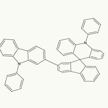 c1ccc(N2c3ccccc3C3(c4ccccc4-c4ccc(-c5ccc6c7ccccc7n(-c7ccccc7)c6c5)cc43)c3ccccc32)cc1